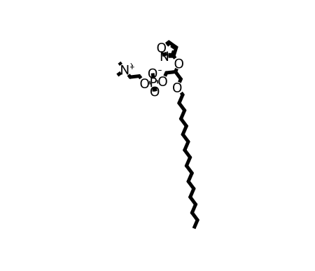 CCCCCCCCCCCCCCCCCCOCC(COP(=O)([O-])OCC[N+](C)(C)C)Oc1ccon1